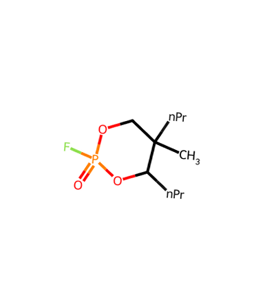 CCCC1OP(=O)(F)OCC1(C)CCC